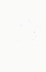 COc1ccc(Nc2cc(NC3CCCCC3)ncn2)cc1